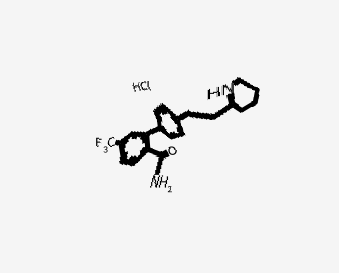 Cl.NC(=O)c1ccc(C(F)(F)F)cc1-c1ccc(CCC2CCCCN2)cc1